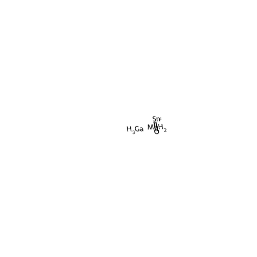 [GaH3].[MgH2].[O]=[Sn]